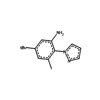 Cc1cc(C(C)(C)C)cc(N)c1-n1cccn1